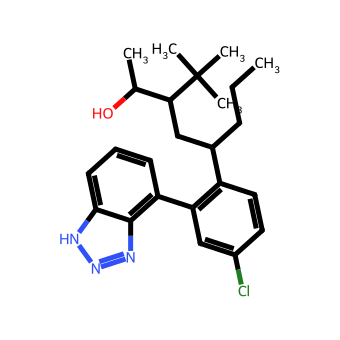 CCCC(CC(C(C)O)C(C)(C)C)c1ccc(Cl)cc1-c1cccc2[nH]nnc12